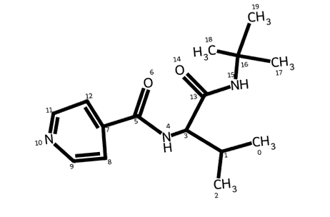 CC(C)C(NC(=O)c1ccncc1)C(=O)NC(C)(C)C